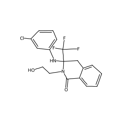 O=C1c2ccccc2CC(Nc2cccc(Cl)c2)(C(F)(F)F)N1CCO